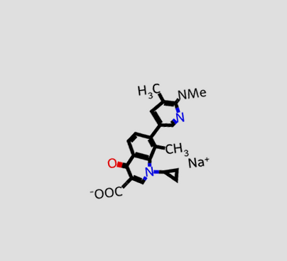 CNc1ncc(-c2ccc3c(=O)c(C(=O)[O-])cn(C4CC4)c3c2C)cc1C.[Na+]